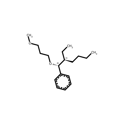 CCCC[C@H](CC)[C@@H](OCCCOC)c1ccccc1